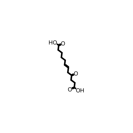 O=C(O)CCCCC=CCC(=O)CCC(=O)O